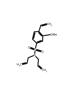 C=CCN(CC=C)S(=O)(=O)c1ccc(C=C)c(OC)c1